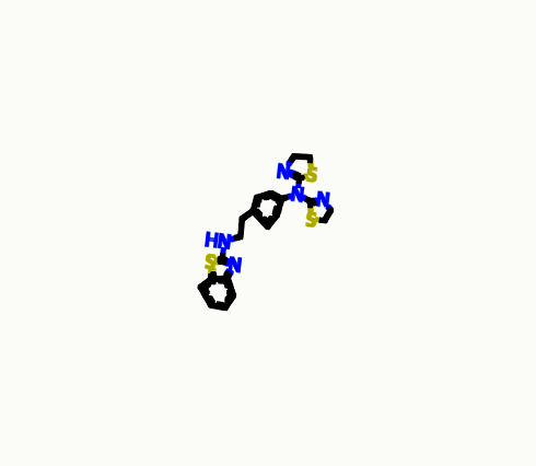 c1ccc2sc(NCCc3ccc(N(C4=NCCS4)C4=NCCS4)cc3)nc2c1